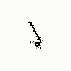 CCCCCCCCCCCCC/C=C\c1cc(O)cc(O)c1